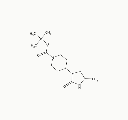 CC1CC(C2CCN(C(=O)OC(C)(C)C)CC2)C(=O)N1